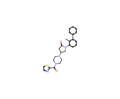 Cc1c(-c2ccccc2)cccc1N1CC(N2CCN(C(=O)c3nccs3)CC2)CC1=O